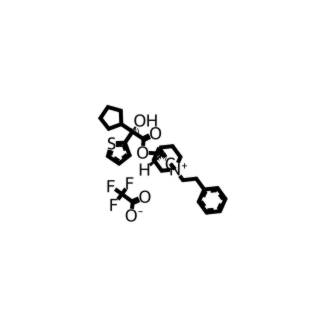 O=C(O[C@H]1C[N+]2(CCc3ccccc3)CCC1CC2)[C@@](O)(c1cccs1)C1CCCC1.O=C([O-])C(F)(F)F